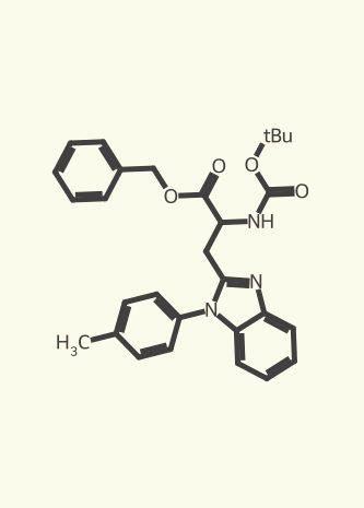 Cc1ccc(-n2c(CC(NC(=O)OC(C)(C)C)C(=O)OCc3ccccc3)nc3ccccc32)cc1